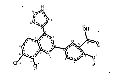 COc1ccc(-c2cc(-c3cn[nH]c3)c3ccc(Cl)c(Cl)c3n2)cc1C(=O)O